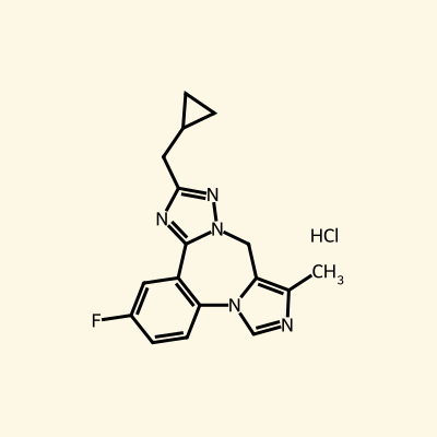 Cc1ncn2c1Cn1nc(CC3CC3)nc1-c1cc(F)ccc1-2.Cl